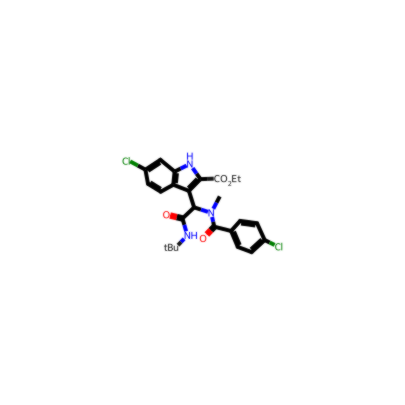 CCOC(=O)c1[nH]c2cc(Cl)ccc2c1C(C(=O)NC(C)(C)C)N(C)C(=O)c1ccc(Cl)cc1